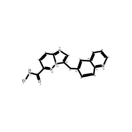 CCNC(=O)c1ccc2ncc(Cc3ccc4ncccc4c3)n2n1